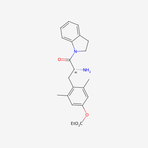 CCOC(=O)Oc1cc(C)c(C[C@@H](N)C(=O)N2CCc3ccccc32)c(C)c1